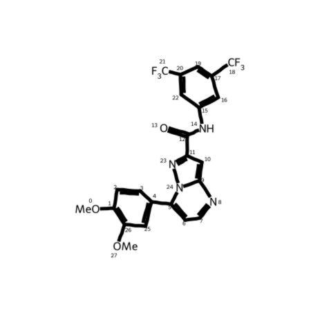 COc1ccc(-c2ccnc3cc(C(=O)Nc4cc(C(F)(F)F)cc(C(F)(F)F)c4)nn23)cc1OC